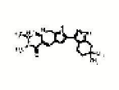 C=C/C(=C\c1cc(-c2n[nH]c3c2CCC(C)(C)C3)[nH]c1C)C(=O)N(C)OC